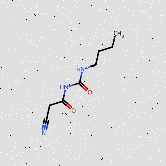 CCCCNC(=O)NC(=O)CC#N